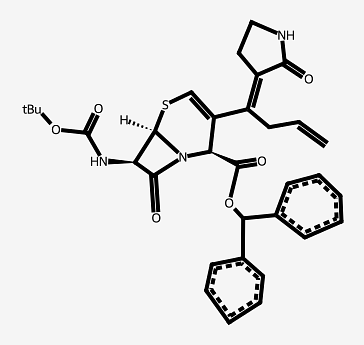 C=CCC(C1=CS[C@@H]2[C@H](NC(=O)OC(C)(C)C)C(=O)N2[C@@H]1C(=O)OC(c1ccccc1)c1ccccc1)=C1CCNC1=O